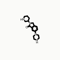 O=C1c2cc(N3CCNCC3)ccc2CN1C1CCCNC1